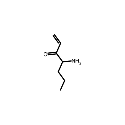 C=CC(=O)C(N)CCC